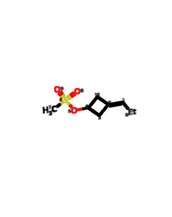 CCC=C1CC(OS(C)(=O)=O)C1